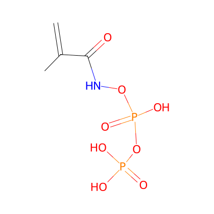 C=C(C)C(=O)NOP(=O)(O)OP(=O)(O)O